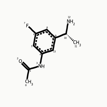 CC(=O)Nc1cc(F)cc([C@@H](C)N)c1